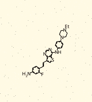 CCN1CCN(c2ccc(Nc3ncnc4c(C=Cc5ccc(N)cc5F)csc34)cc2)CC1